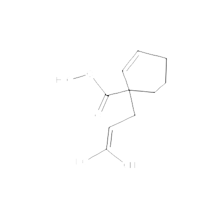 COC(=O)C1(CC=C(C)C)C=CCCC1